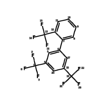 FC(F)(F)c1cc(-c2ccccc2C(F)(F)F)cc(C(F)(F)F)c1